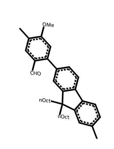 CCCCCCCCC1(CCCCCCCC)c2cc(C)ccc2-c2ccc(-c3cc(OC)c(C)cc3C=O)cc21